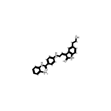 Nc1ccccc1NC(=O)c1ccc(NCC=C2C(=O)Nc3ccc(CCO)cc32)cc1